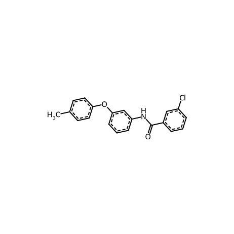 Cc1ccc(Oc2cccc(NC(=O)c3cccc(Cl)c3)c2)cc1